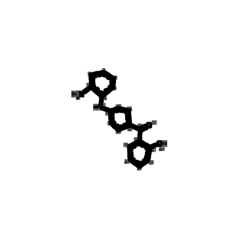 Nc1ccccc1Nc1ccc(C(=O)c2ccccc2O)cc1